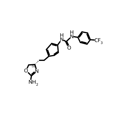 NC1=N[C@@H](CCc2ccc(NC(=O)Nc3ccc(C(F)(F)F)cc3)cc2)CO1